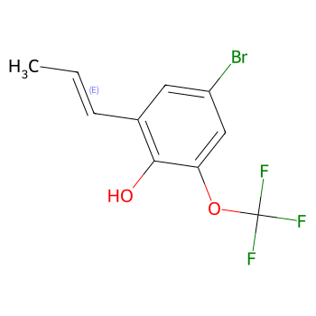 C/C=C/c1cc(Br)cc(OC(F)(F)F)c1O